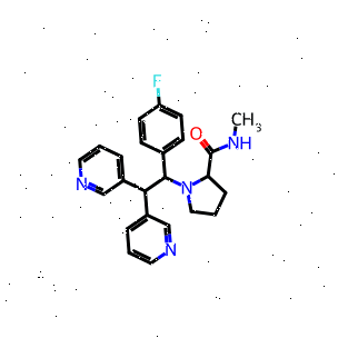 CNC(=O)C1CCCN1C(c1ccc(F)cc1)C(c1cccnc1)c1cccnc1